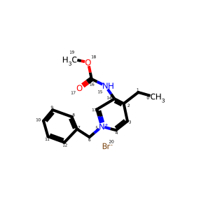 CCc1cc[n+](Cc2ccccc2)cc1NC(=O)OC.[Br-]